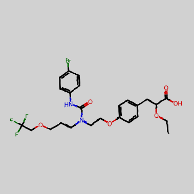 CCOC(Cc1ccc(OCCN(CCCOCC(F)(F)F)C(=O)Nc2ccc(Br)cc2)cc1)C(=O)O